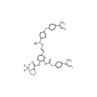 CN(C)c1ccc(CC(=O)Oc2cc(/C=C/SC(Br)c3ccc(Cc4ccc(N(C)C)cc4)cc3)ccc2OC(=O)N2CCCC2C(F)(F)F)cc1